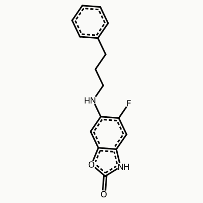 O=c1[nH]c2cc(F)c(NCCCc3ccccc3)cc2o1